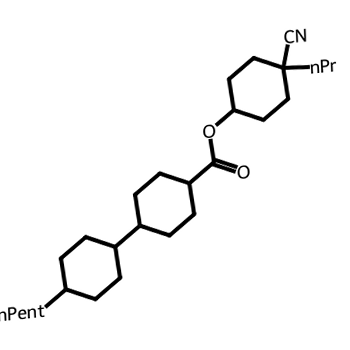 CCCCCC1CCC(C2CCC(C(=O)OC3CCC(C#N)(CCC)CC3)CC2)CC1